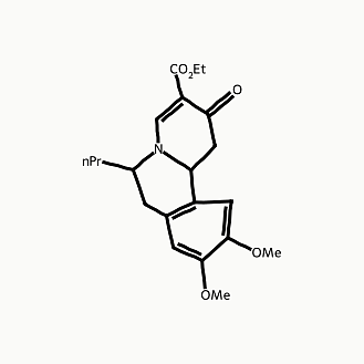 CCCC1Cc2cc(OC)c(OC)cc2C2CC(=O)C(C(=O)OCC)=CN12